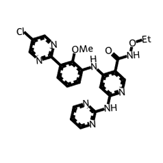 CCONC(=O)c1cnc(Nc2ncccn2)cc1Nc1cccc(-c2ncc(Cl)cn2)c1OC